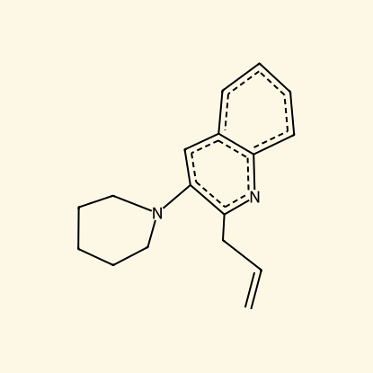 C=CCc1nc2ccccc2cc1N1CCCCC1